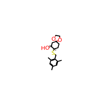 Cc1cc(C)c(CS[C@@H]2CCC3(C[C@H]2O)OCCO3)c(C)c1